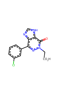 O=C(O)Cn1nc(-c2cccc(Cl)c2)c2nc[nH]c2c1=O